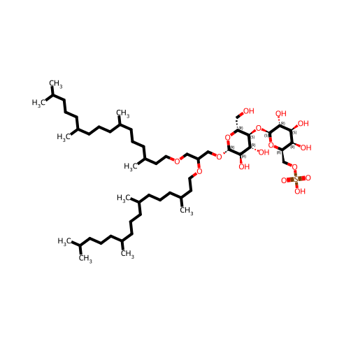 CC(C)CCCC(C)CCCC(C)CCCC(C)CCOCC(CO[C@@H]1O[C@H](CO)[C@@H](O[C@@H]2O[C@H](COS(=O)(=O)O)[C@H](O)[C@H](O)[C@H]2O)[C@H](O)[C@H]1O)OCCC(C)CCCC(C)CCCC(C)CCCC(C)C